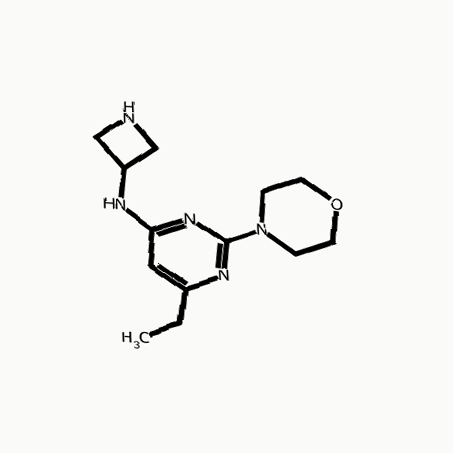 CCc1cc(NC2CNC2)nc(N2CCOCC2)n1